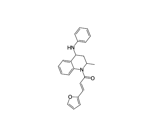 CC1CC(Nc2ccccc2)c2ccccc2N1C(=O)C=Cc1ccco1